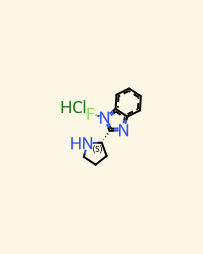 Cl.Fn1c([C@@H]2CCCN2)nc2ccccc21